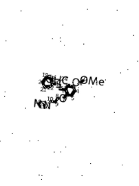 COCOc1ccc(OCCCN=[N+]=[N-])c(CSc2ccccc2)c1C=O